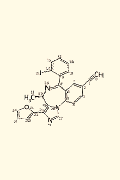 C#Cc1ccc2c(c1)C(c1ccccc1I)=N[C@H](C)c1c(-c3ccco3)ncn1-2